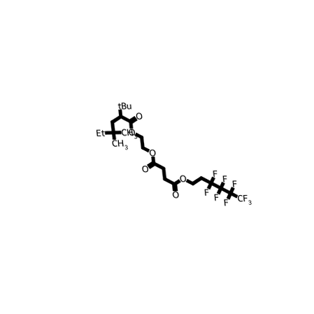 CCC(C)(C)CC(C(=O)OCCOC(=O)CCC(=O)OCCC(F)(F)C(F)(F)C(F)(F)C(F)(F)F)C(C)(C)C